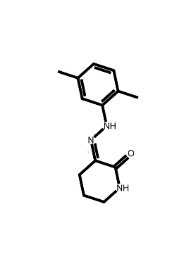 Cc1ccc(C)c(N/N=C2/CCCNC2=O)c1